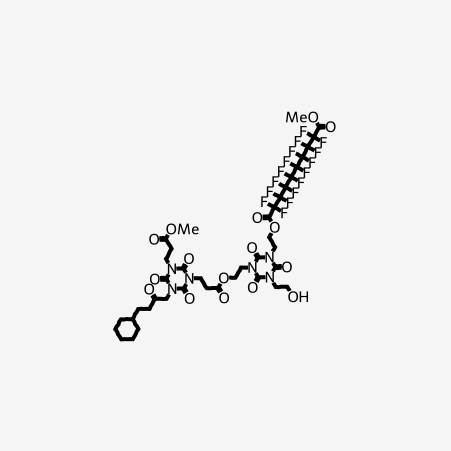 COC(=O)CCn1c(=O)n(CCC(=O)OCCn2c(=O)n(CCO)c(=O)n(CCOC(=O)C(F)(F)C(F)(F)C(F)(F)C(F)(F)C(F)(F)C(F)(F)C(F)(F)C(F)(F)C(=O)OC)c2=O)c(=O)n(CC(=O)CCC2CCCCC2)c1=O